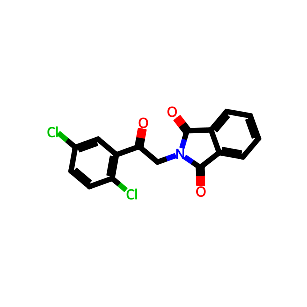 O=C(CN1C(=O)c2ccccc2C1=O)c1cc(Cl)ccc1Cl